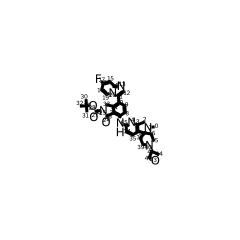 CN1Cc2nc(Nc3ccc(-c4cnc5cc(F)ccn45)c4c3C(=O)N(C(=O)OC(C)(C)C)C4)ccc2C12CCN(C1COC1)CC2